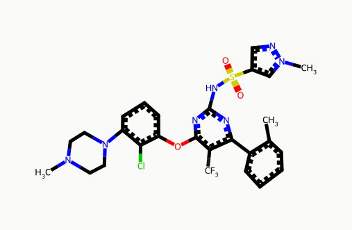 Cc1ccccc1-c1nc(NS(=O)(=O)c2cnn(C)c2)nc(Oc2cccc(N3CCN(C)CC3)c2Cl)c1C(F)(F)F